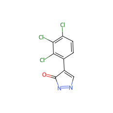 O=C1N=NC=C1c1ccc(Cl)c(Cl)c1Cl